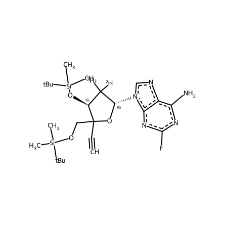 [2H]C1([2H])[C@H](O[Si](C)(C)C(C)(C)C)C(C#C)(CO[Si](C)(C)C(C)(C)C)O[C@H]1n1cnc2c(N)nc(F)nc21